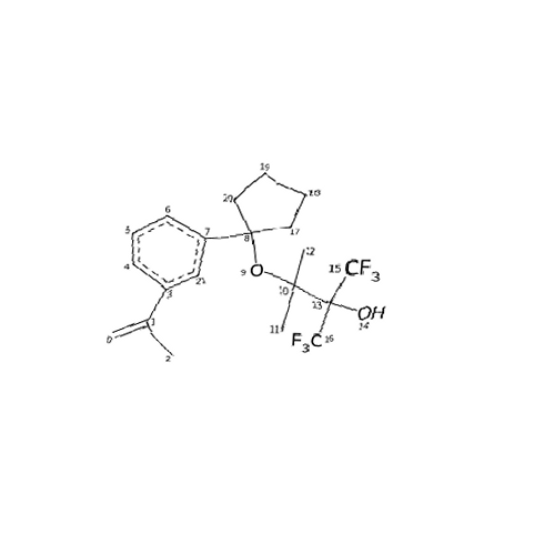 C=C(C)c1cccc(C2(OC(C)(C)C(O)(C(F)(F)F)C(F)(F)F)CCCC2)c1